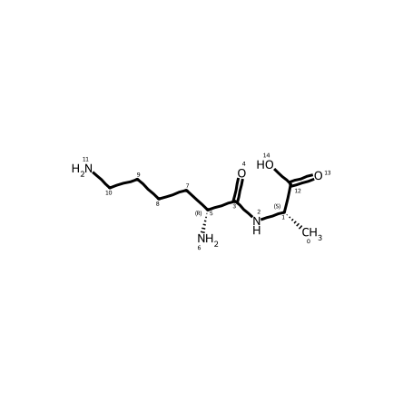 C[C@H](NC(=O)[C@H](N)CCCCN)C(=O)O